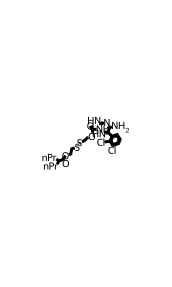 CCCC(CCC)C(=O)OCCSSCCOC(=O)NC(=N)/N=C(/N)C(=N)c1cccc(Cl)c1Cl